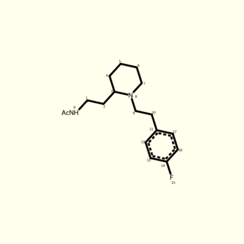 CC(=O)N[CH]CC1CCCCN1CCc1ccc(F)cc1